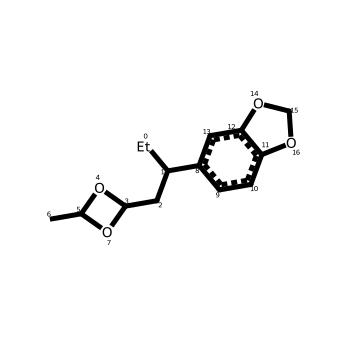 CCC(CC1OC(C)O1)c1ccc2c(c1)OCO2